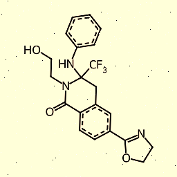 O=C1c2ccc(C3=NCCO3)cc2CC(Nc2ccccc2)(C(F)(F)F)N1CCO